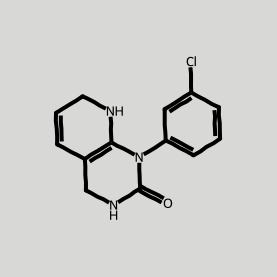 O=C1NCC2=C(NCC=C2)N1c1cccc(Cl)c1